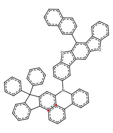 c1ccc(-c2ccccc2N(c2ccc3c(c2)C(c2ccccc2)(c2ccccc2)c2ccccc2-3)c2ccc3oc4c(-c5ccc6ccccc6c5)c5c(cc4c3c2)oc2ccccc25)cc1